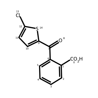 O=C(O)c1ccccc1C(=O)c1ccc(Cl)s1